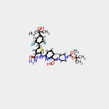 CC(C)(C)OC(=O)N1CCN(C(O)c2cccc(Nc3sc(-c4c(F)cc(C(C)(C)O)cc4F)cc3C(N)=O)n2)CC1